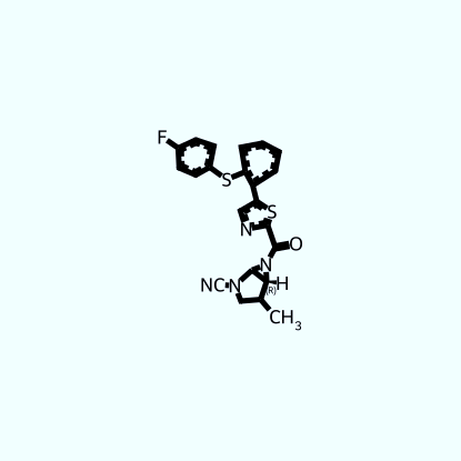 CC1CN(C#N)C2[C@@H]1N2C(=O)c1ncc(-c2ccccc2Sc2ccc(F)cc2)s1